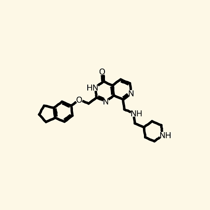 O=c1[nH]c(COc2ccc3c(c2)CCC3)nc2c(CNCC3CCNCC3)nccc12